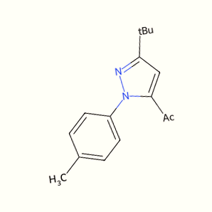 CC(=O)c1cc(C(C)(C)C)nn1-c1ccc(C)cc1